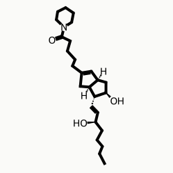 CCCCC[C@@H](O)/C=C/[C@@H]1[C@H]2CC(CCCCC(=O)N3CCCCC3)=C[C@H]2C[C@H]1O